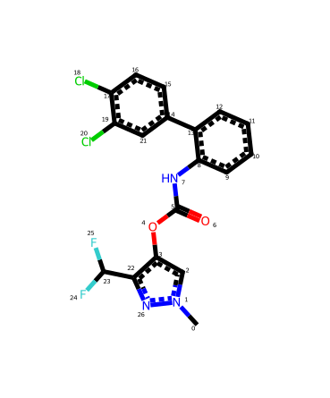 Cn1cc(OC(=O)Nc2ccccc2-c2ccc(Cl)c(Cl)c2)c(C(F)F)n1